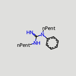 CCCCCNC(=N)N(CCCCC)c1ccccc1